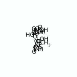 CC1(F)[C@@H](O)[C@@H](COP(=O)(O)OP(=O)(O)OP(=O)(O)O)O[C@H]1n1ccc(=O)[nH]c1=S